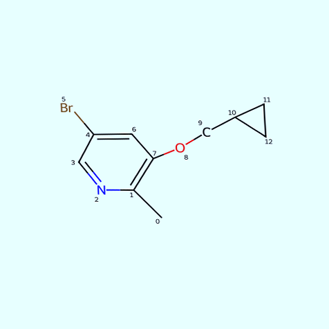 Cc1ncc(Br)cc1OCC1CC1